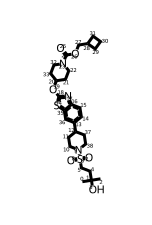 CC(C)(O)CCS(=O)(=O)N1CCC(c2ccc3nc(OC4CCN(C(=O)OCC5CCC5)CC4)sc3c2)CC1